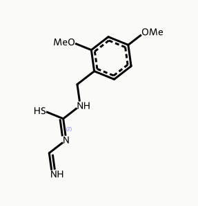 COc1ccc(CN/C(S)=N/C=N)c(OC)c1